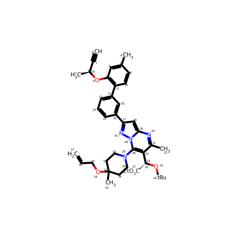 C#C[C@H](C)Oc1cc(C)ccc1-c1cccc(-c2cc3nc(C)c([C@H](OC(C)(C)C)C(=O)OCC)c(N4CCC(C)(OCC=C)CC4)n3n2)c1